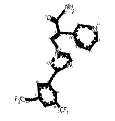 NC(=O)C(=Cn1cnc(-c2cc(C(F)(F)F)cc(C(F)(F)F)c2)n1)c1cccnc1